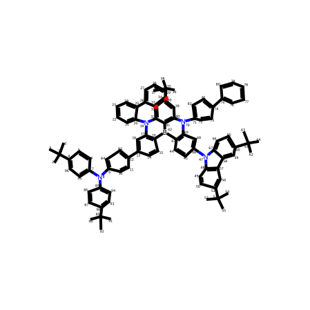 CC(C)(C)c1ccc(N(c2ccc(-c3ccc4c(c3)N(c3ccccc3-c3ccccc3)c3cc(C(C)(C)C)cc5c3B4c3ccc(-n4c6ccc(C(C)(C)C)cc6c6cc(C(C)(C)C)ccc64)cc3N5c3ccc(-c4ccccc4)cc3)cc2)c2ccc(C(C)(C)C)cc2)cc1